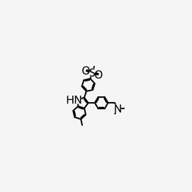 Cc1ccc2[nH]c(-c3ccc(S(C)(=O)=O)cc3)c(-c3ccc(CN(C)C)cc3)c2c1